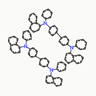 c1ccc(N(c2ccc(-c3ccc(N(c4ccccc4)c4cccc5ccccc45)cc3)cc2)c2cccc3ccccc23)cc1.c1ccc(N(c2ccc(-c3ccc(N(c4ccccc4)c4cccc5ccccc45)cc3)cc2)c2cccc3ccccc23)cc1